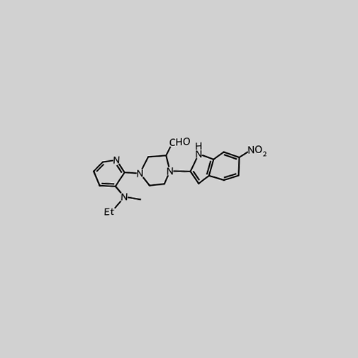 CCN(C)c1cccnc1N1CCN(c2cc3ccc([N+](=O)[O-])cc3[nH]2)C(C=O)C1